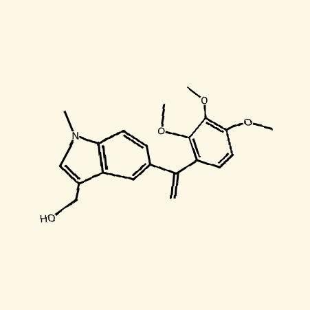 C=C(c1ccc2c(c1)c(CO)cn2C)c1ccc(OC)c(OC)c1OC